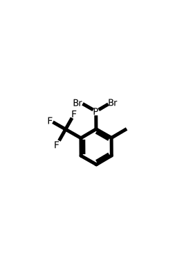 Cc1cccc(C(F)(F)F)c1P(Br)Br